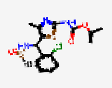 C=C(C)OC(=O)Nc1nc(C)c(C(N[S@+]([O-])C(C)(C)C)c2ccccc2Cl)s1